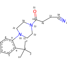 CC(C)(C)c1ccccc1N1CCN(C(=O)CCC#N)CC1